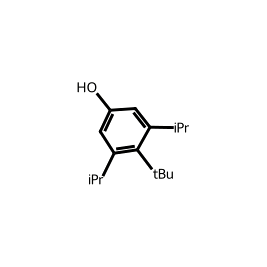 CC(C)c1cc(O)cc(C(C)C)c1C(C)(C)C